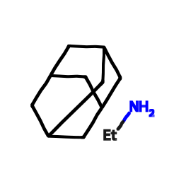 C1C2CC3CC1CC(C2)C3.CCN